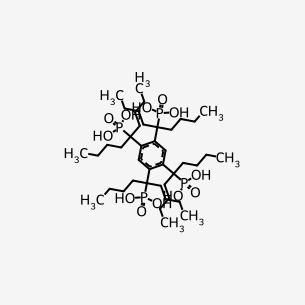 CCCCC(CCCC)(c1cc(C(CCCC)(CCCC)P(=O)(O)O)c(C(CCCC)(CCCC)P(=O)(O)O)cc1C(CCCC)(CCCC)P(=O)(O)O)P(=O)(O)O